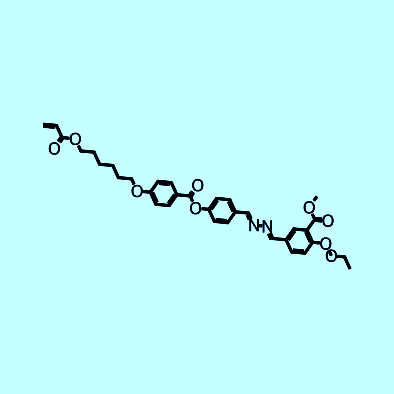 C=CC(=O)OCCCCCCOc1ccc(C(=O)Oc2ccc(/C=N/N=C/c3ccc(OOCC)c(C(=O)OC)c3)cc2)cc1